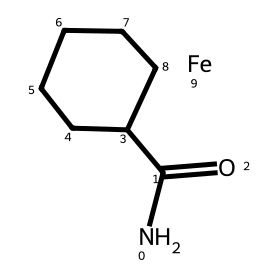 NC(=O)C1CCCCC1.[Fe]